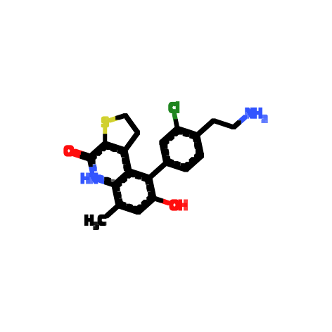 Cc1cc(O)c(-c2ccc(CCN)c(Cl)c2)c2c3c(c(=O)[nH]c12)SCC3